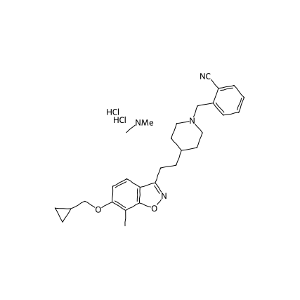 CNC.Cc1c(OCC2CC2)ccc2c(CCC3CCN(Cc4ccccc4C#N)CC3)noc12.Cl.Cl